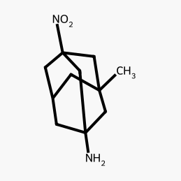 CC12CC3CC(N)(C1)CC([N+](=O)[O-])(C3)C2